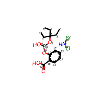 CCC(CC)(CC)OB(O)Oc1ccccc1C(=O)O.ClNBr